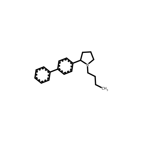 CCCCN1CCCC1c1ccc(-c2ccccc2)cc1